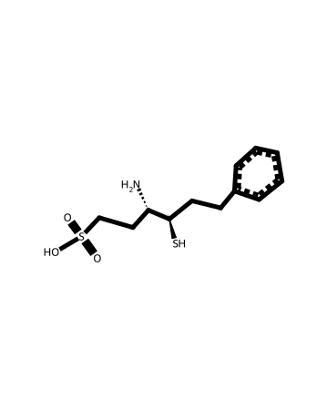 N[C@@H](CCS(=O)(=O)O)[C@H](S)CCc1ccccc1